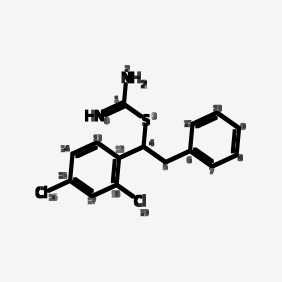 N=C(N)SC(Cc1ccccc1)c1ccc(Cl)cc1Cl